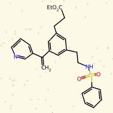 C=C(c1cccnc1)c1cc(CCNS(=O)(=O)c2ccccc2)cc(CCC(=O)OCC)c1